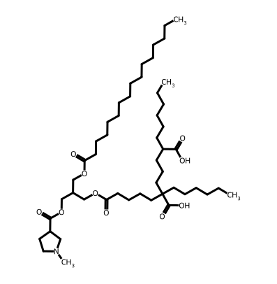 CCCCCCCCCCCCCCCC(=O)OCC(COC(=O)CCCCC(CCCCCC)(CCCC(CCCCCC)C(=O)O)C(=O)O)COC(=O)C1CCN(C)C1